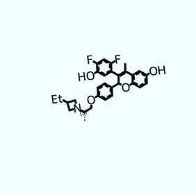 CCC1CN([C@@H](C)COc2ccc(C3Oc4ccc(O)cc4C(C)=C3c3cc(O)c(F)cc3F)cc2)C1